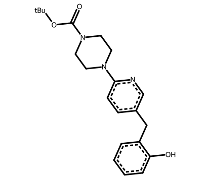 CC(C)(C)OC(=O)N1CCN(c2ccc(Cc3ccccc3O)cn2)CC1